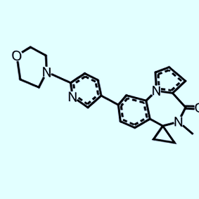 CN1C(=O)c2cccn2-c2cc(-c3ccc(N4CCOCC4)nc3)ccc2C12CC2